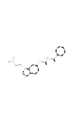 CN(C)CCn1ccc2ccc(NC(=S)NC(=O)c3ccccc3)cc21